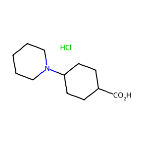 Cl.O=C(O)C1CCC(N2CCCCC2)CC1